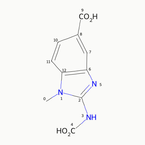 Cn1c(NC(=O)O)nc2cc(C(=O)O)ccc21